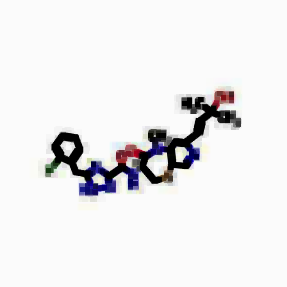 CN1C(=O)[C@@H](NC(=O)c2n[nH]c(Cc3ccccc3F)n2)CSc2cnc(C#CC(C)(C)O)cc21